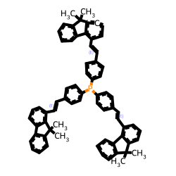 CC1(C)c2ccccc2-c2c(/C=C/c3ccc(P(c4ccc(/C=C/c5cccc6c5-c5ccccc5C6(C)C)cc4)c4ccc(/C=C/c5cccc6c5C(C)(C)c5ccccc5-6)cc4)cc3)cccc21